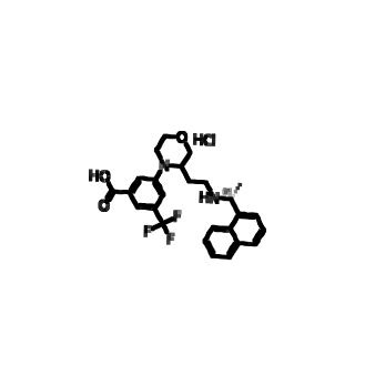 C[C@@H](NCCC1COCCN1c1cc(C(=O)O)cc(C(F)(F)F)c1)c1cccc2ccccc12.Cl